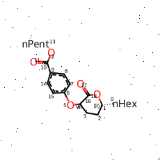 CCCCCC[C@@H]1CC[C@@H](Oc2ccc(C(=O)OCCCCC)cc2)C(=O)O1